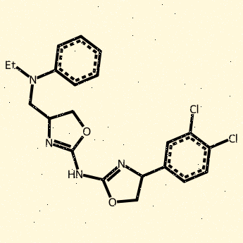 CCN(CC1COC(NC2=NC(c3ccc(Cl)c(Cl)c3)CO2)=N1)c1ccccc1